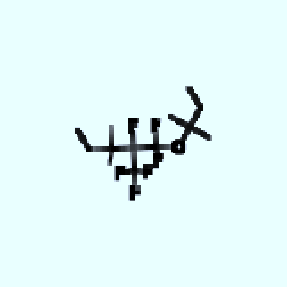 CCC(C)(C)OC(F)(F)C(F)(C(F)(F)F)C(C)(C)CC